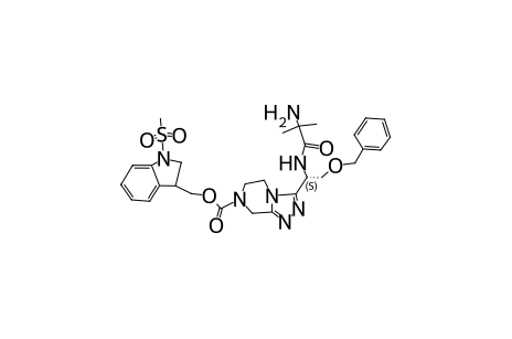 CC(C)(N)C(=O)N[C@H](COCc1ccccc1)c1nnc2n1CCN(C(=O)OCC1CN(S(C)(=O)=O)c3ccccc31)C2